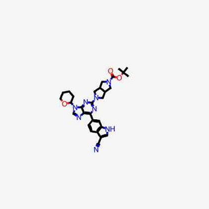 CC(C)(C)OC(=O)N1CC2CN(c3nc(-c4ccc5c(C#N)c[nH]c5c4)c4ncn(C5CCCCO5)c4n3)CC2C1